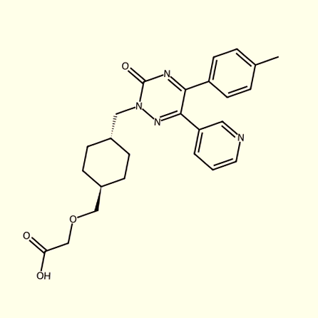 Cc1ccc(-c2nc(=O)n(C[C@H]3CC[C@H](COCC(=O)O)CC3)nc2-c2cccnc2)cc1